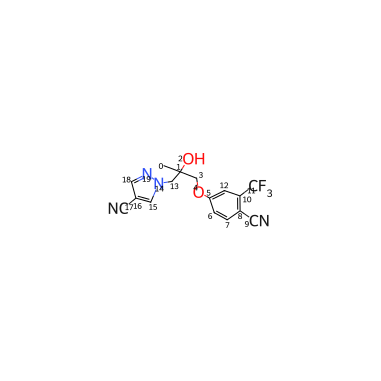 CC(O)(COc1ccc(C#N)c(C(F)(F)F)c1)Cn1cc(C#N)cn1